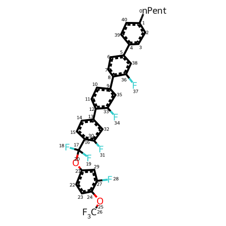 CCCCCc1ccc(-c2ccc(-c3ccc(-c4ccc(C(F)(F)Oc5ccc(OC(F)(F)F)c(F)c5)c(F)c4)c(F)c3)c(F)c2)cc1